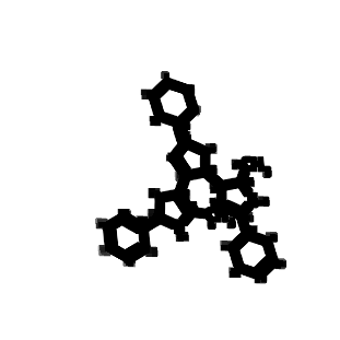 CC1=C(C2=CC(=C3CCCCC3)CC2C2C=C(C3CC=CCC3)SC2C)CC(c2ccccc2)S1